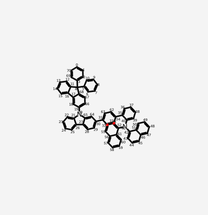 c1ccc(C2(c3ccccc3)c3ccccc3-c3cc(-n4c5ccccc5c5ccc(-c6ccc(-c7ccccc7N(c7cccc8ccccc78)c7cccc8ccccc78)cc6)cc54)ccc32)cc1